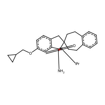 CC(C)N1C(=O)C2(N=C1N)c1cc(OCC3CC3)ccc1CC21CCc2ccccc2CC1